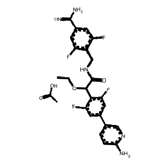 CC(=O)O.CCOC(C(=O)NCc1c(F)cc(C(=N)N)cc1F)c1c(F)cc(-c2ccc(N)nc2)cc1F